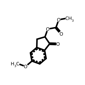 COC(=O)OC1Cc2cc(OC)ccc2C1=O